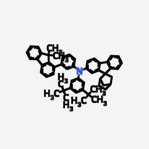 CC(C)(C)c1cc(N(c2cccc(-c3cccc4c3C(C)(C)c3ccccc3-4)c2)c2ccc3c(c2)C2(CC4CCC2C4)c2ccccc2-3)cc(C(C)(C)C)c1